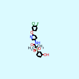 CC(C)(C(=O)Nc1ccc(Oc2ccc(F)c(Cl)c2)nc1)S(=O)(=O)c1cccc(O)c1